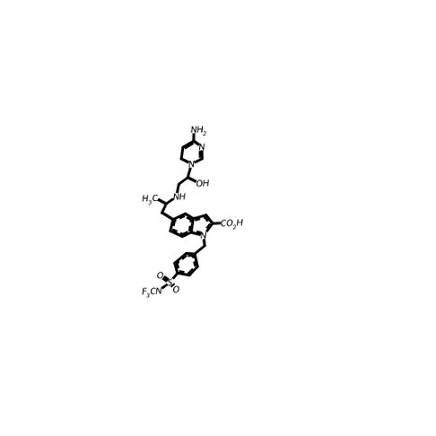 CC(Cc1ccc2c(c1)cc(C(=O)O)n2Cc1ccc(S(=O)(=O)NC(F)(F)F)cc1)NCC(O)N1C=NC(N)=CC1